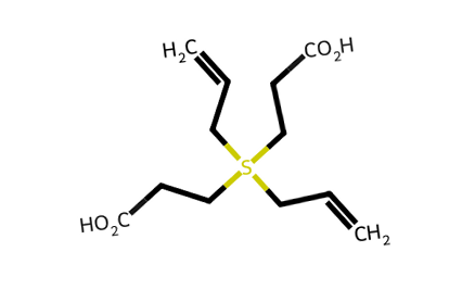 C=CCS(CC=C)(CCC(=O)O)CCC(=O)O